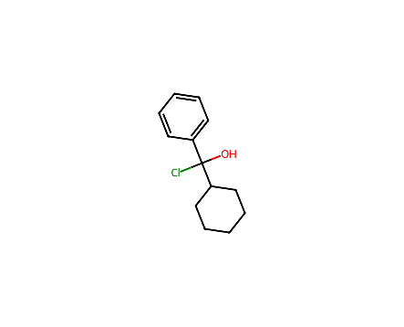 OC(Cl)(c1ccccc1)C1CCCCC1